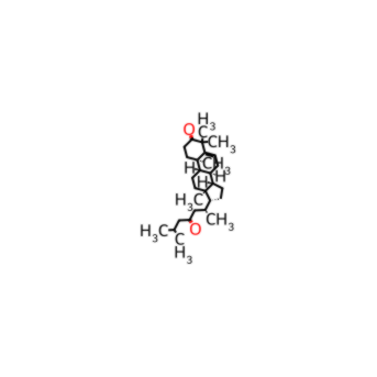 CC(C)CC(=O)C[C@@H](C)[C@H]1CC[C@H]2[C@@H]3CC=C4C(C)(C)C(=O)CC[C@]4(C)[C@H]3CC[C@]12C